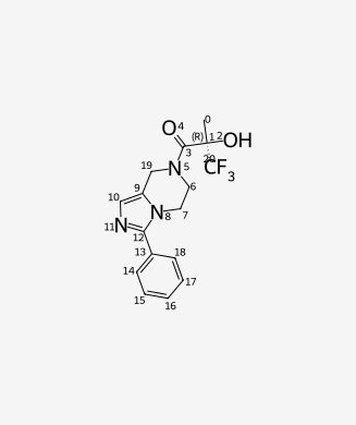 C[C@@](O)(C(=O)N1CCn2c(cnc2-c2ccccc2)C1)C(F)(F)F